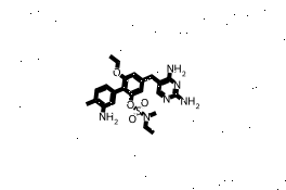 CCOc1cc(Cc2cnc(N)nc2N)cc(OS(=O)(=O)N(C)CC)c1-c1ccc(C)c(N)c1